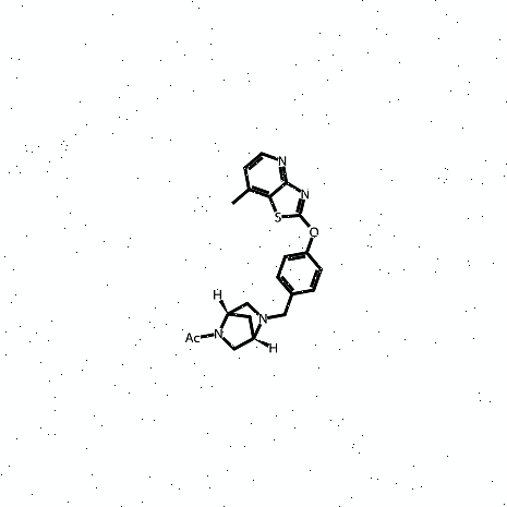 CC(=O)N1C[C@@H]2C[C@H]1CN2Cc1ccc(Oc2nc3nccc(C)c3s2)cc1